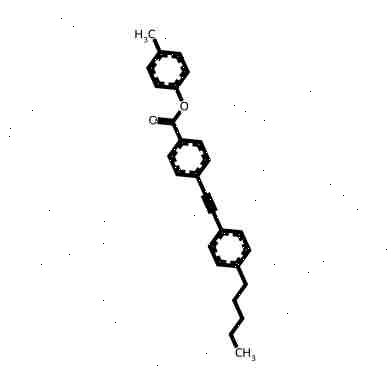 CCCCCc1ccc(C#Cc2ccc(C(=O)Oc3ccc(C)cc3)cc2)cc1